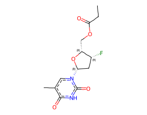 CCC(=O)OC[C@H]1O[C@@H](n2cc(C)c(=O)[nH]c2=O)C[C@H]1F